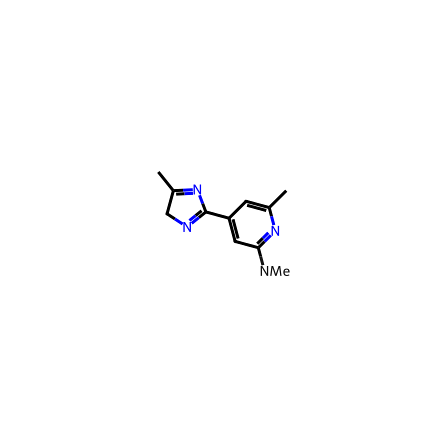 CNc1cc(C2=NCC(C)=N2)cc(C)n1